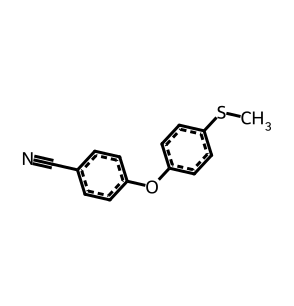 CSc1ccc(Oc2ccc(C#N)cc2)cc1